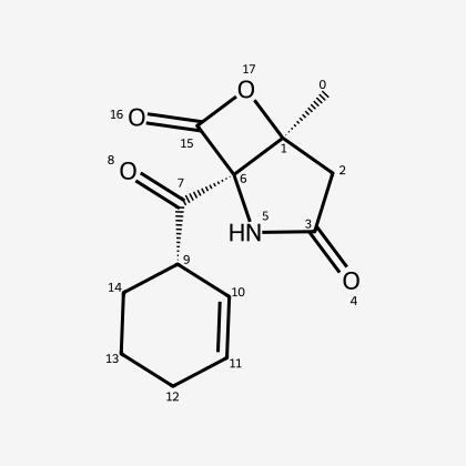 C[C@]12CC(=O)N[C@@]1(C(=O)[C@@H]1C=CCCC1)C(=O)O2